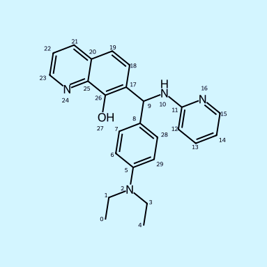 CCN(CC)c1ccc(C(Nc2ccccn2)c2ccc3cccnc3c2O)cc1